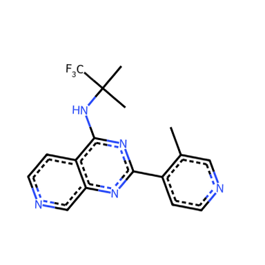 Cc1cnccc1-c1nc(NC(C)(C)C(F)(F)F)c2ccncc2n1